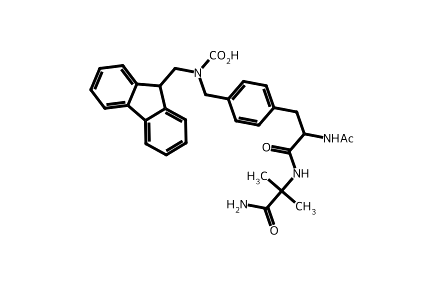 CC(=O)NC(Cc1ccc(CN(CC2c3ccccc3-c3ccccc32)C(=O)O)cc1)C(=O)NC(C)(C)C(N)=O